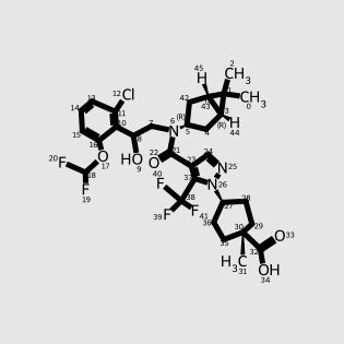 CC1(C)[C@@H]2C[C@H](N(CC(O)c3c(Cl)cccc3OC(F)F)C(=O)c3cnn([C@H]4CC[C@](C)(C(=O)O)CC4)c3C(F)(F)F)C[C@@H]21